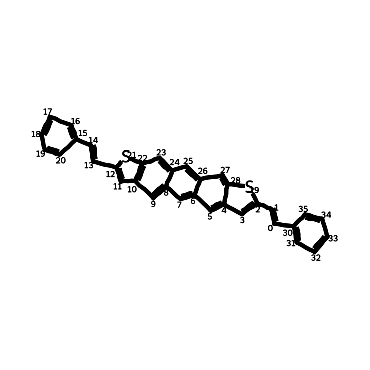 C(=C\c1cc2cc3cc4cc5cc(/C=C/c6ccccc6)sc5cc4cc3cc2s1)/c1ccccc1